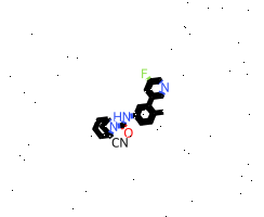 Cc1ccc(NC(=O)N2C3CCCC2(C#N)C3)cc1-c1cncc(F)c1